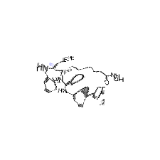 CC/C=C(/Nc1ccccc1)[C@H](CCCCCC(=O)NO)NC(=O)Nc1cccc(C(F)(F)F)c1